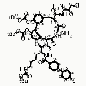 CN(C(=O)[C@H](CCCCNC(=O)OC(C)(C)C)NC(=O)c1ccc(-c2ccc(Cl)cc2)cc1)[C@@H]1C(=O)N[C@@H](N)C(=O)N[C@H](C(=O)N[C@@H](N)C(=O)CCl)Cc2ccc(OC(=O)OC(C)(C)C)c(c2)-c2cc1ccc2OC(=O)OC(C)(C)C